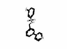 O=S(=O)(NCc1cccc(-c2ccncc2)c1)c1cccc(F)c1